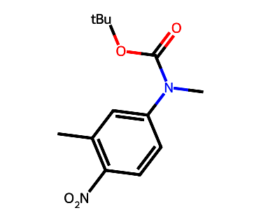 Cc1cc(N(C)C(=O)OC(C)(C)C)ccc1[N+](=O)[O-]